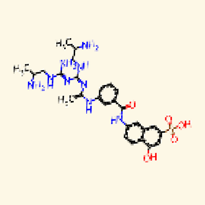 C=C(/N=C(\N=C(/N)NCC(C)N)NCC(C)N)Nc1cccc(C(=O)Nc2ccc3c(O)cc(S(=O)(=O)O)cc3c2)c1